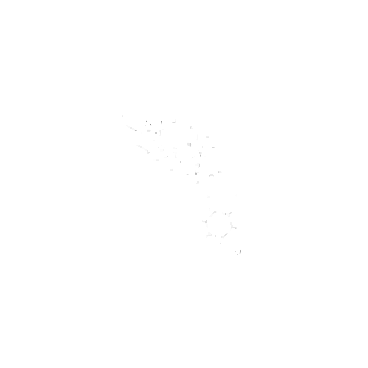 CCC(Cc1ccc(OC)cc1)[C@H]1CC[C@H]2[C@@H]3CC[C@H]4NC(=O)C=C[C@]4(C)[C@H]3CC[C@]12C